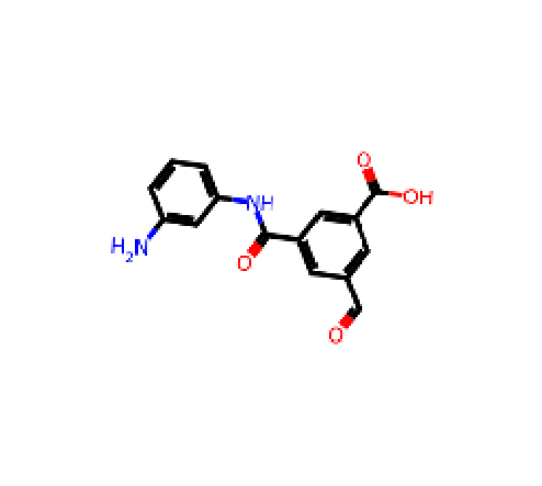 Nc1cccc(NC(=O)c2cc(C=O)cc(C(=O)O)c2)c1